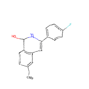 COc1ccc2c(c1)C=C(c1ccc(F)cc1)NC2O